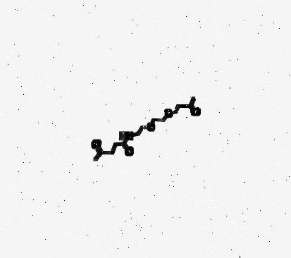 CC(=O)CCOCCOCCNC(=O)CCC(C)=O